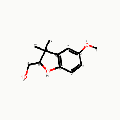 COc1ccc2c(c1)C(C)(C)C(CO)O2